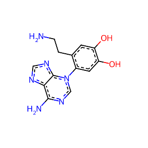 NCCc1cc(O)c(O)cc1-n1cnc(N)c2ncnc1-2